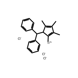 CC1=C(C)C(C(c2ccccc2)c2ccccc2)[C]([Ti+3])=C1C.[Cl-].[Cl-].[Cl-]